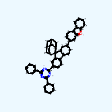 c1ccc(-c2nc(-c3ccccc3)nc(-c3ccc4c(c3)C3(c5cc(-c6ccc7c(c6)oc6ccccc67)ccc5-4)C4CC5CC(C4)CC3C5)n2)cc1